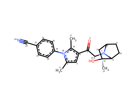 Cc1cc(C(=O)CN2C3CCC2[C@@](C)(O)C3)c(C)n1-c1ccc(C#N)cc1